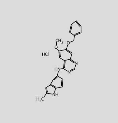 COc1cc2c(Nc3ccc4[nH]c(C)cc4c3)ncnc2cc1OCc1ccccc1.Cl